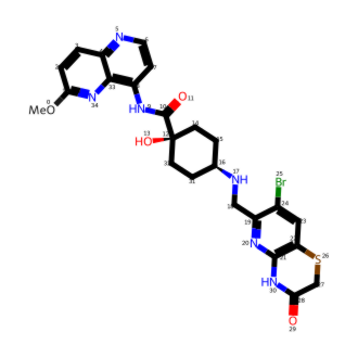 COc1ccc2nccc(NC(=O)[C@]3(O)CC[C@@H](NCc4nc5c(cc4Br)SCC(=O)N5)CC3)c2n1